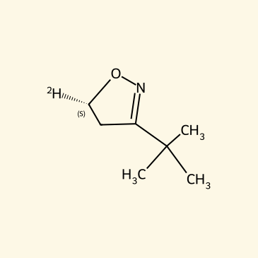 [2H][C@H]1CC(C(C)(C)C)=NO1